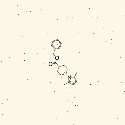 Cc1ccc(C)n1[C@H]1CC[C@H](C(=O)OCc2ccccc2)CC1